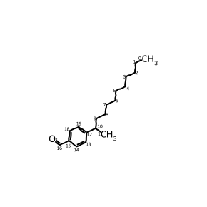 CCCCCCCCCCC(C)c1ccc(C=O)cc1